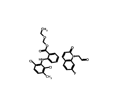 CCOCOC(=O)c1ccccc1Nc1c(Cl)ccc(C)c1Cl.O=CCn1c(=O)ccc2ccc(F)cc21